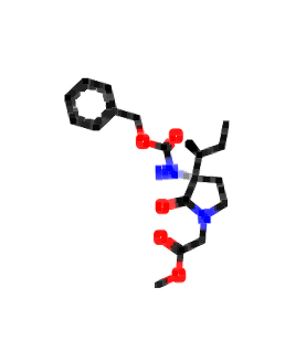 CC[C@H](C)[C@@]1(NC(=O)OCc2ccccc2)CCN(CC(=O)OC)C1=O